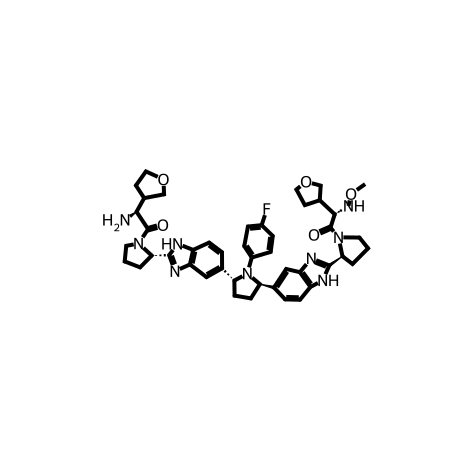 CON[C@H](C(=O)N1CCC[C@H]1c1nc2cc([C@H]3CC[C@H](c4ccc5[nH]c([C@@H]6CCCN6C(=O)[C@@H](N)C6CCOC6)nc5c4)N3c3ccc(F)cc3)ccc2[nH]1)C1CCOC1